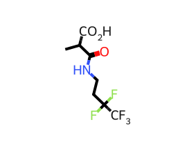 CC(C(=O)O)C(=O)NCCC(F)(F)C(F)(F)F